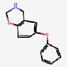 c1ccc(Oc2ccc3c(c2)CNCO3)cc1